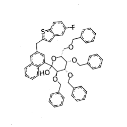 OC1(c2cc(Cc3cc4cc(F)ccc4s3)cc3ccccc23)O[C@H](COCc2ccccc2)[C@H](OCc2ccccc2)[C@H](OCc2ccccc2)[C@H]1OCc1ccccc1